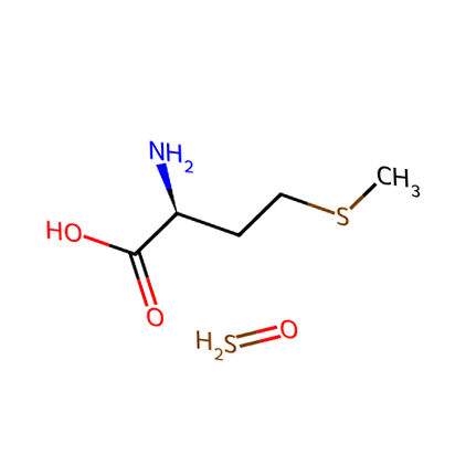 CSCC[C@H](N)C(=O)O.O=[SH2]